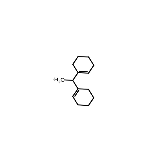 [CH2]C(C1=CCCCC1)C1=CCCCC1